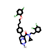 CC(=O)N1CC2CC(c3ccc(CCCOc4cc(F)ccc4Br)cc3)=C(C(=O)N(CCc3cccc(F)c3F)C3CC3)C(C1)N2